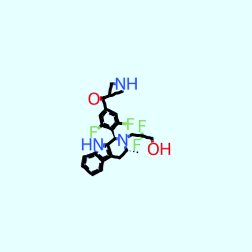 C[C@@H]1Cc2c([nH]c3ccccc23)[C@@H](c2c(F)cc(C(=O)C3CNC3)cc2F)N1CC(F)(F)CO